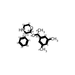 Cc1cc(C)cc([C@@H](C)O[C@H]2OCCN[C@H]2c2ccccc2)c1